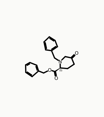 O=C1CC[C@@H](C(=O)OCc2ccccc2)N(Cc2ccccc2)C1